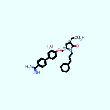 N=C(N)c1ccc(-c2ccc(OC[C@@H]3C[C@@H](CC(=O)O)C(=O)N3CCCC3CCCCC3)cc2)cc1.O